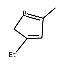 CCC1=CC(C)=BC1